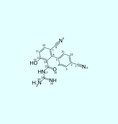 N#Cc1ccc(-c2c(C#N)ccc(O)c2C(=O)NC(=N)N)cc1